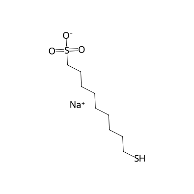 O=S(=O)([O-])CCCCCCCCCS.[Na+]